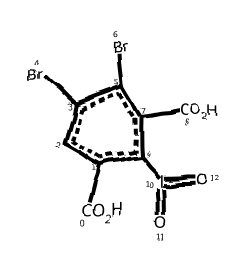 O=C(O)c1cc(Br)c(Br)c(C(=O)O)c1I(=O)=O